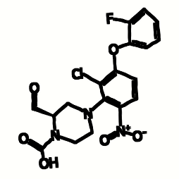 O=C[C@H]1CN(c2c([N+](=O)[O-])ccc(Oc3ccccc3F)c2Cl)CCN1C(=O)O